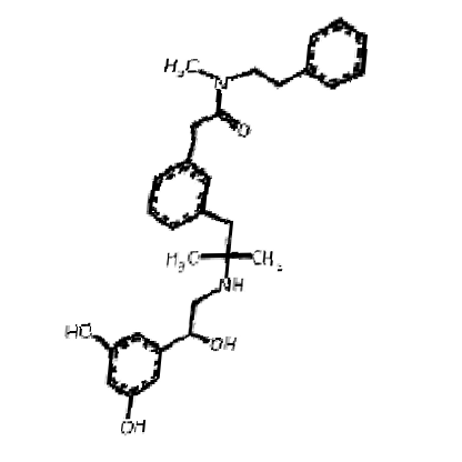 CN(CCc1ccccc1)C(=O)Cc1cccc(CC(C)(C)NCC(O)c2cc(O)cc(O)c2)c1